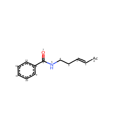 CC(=O)C=CCCNC(=O)c1ccccc1